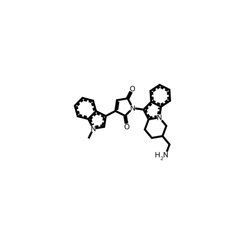 Cn1cc(C2=CC(=O)N(c3c4n(c5ccccc35)CC(CN)CC4)C2=O)c2ccccc21